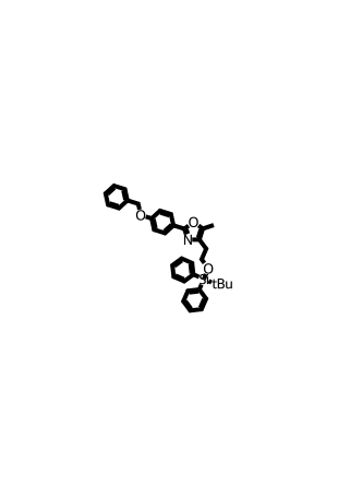 Cc1oc(-c2ccc(OCc3ccccc3)cc2)nc1CCO[Si](c1ccccc1)(c1ccccc1)C(C)(C)C